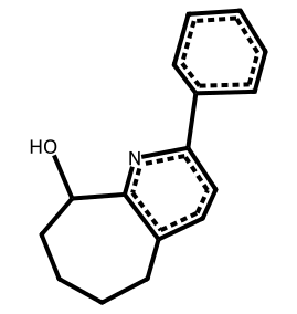 OC1CCCCc2ccc(-c3ccccc3)nc21